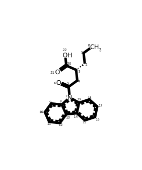 CCC[C@H](CC(=O)n1c2ccccc2c2ccccc21)C(=O)O